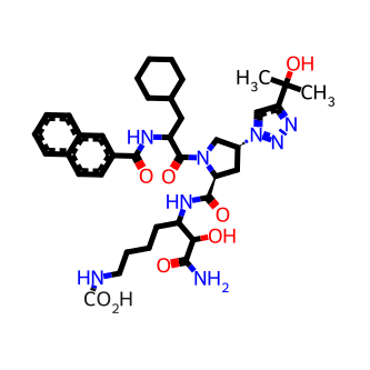 CC(C)(O)c1cn([C@@H]2C[C@@H](C(=O)NC(CCCCNC(=O)O)C(O)C(N)=O)N(C(=O)C(CC3CCCCC3)NC(=O)c3ccc4ccccc4c3)C2)nn1